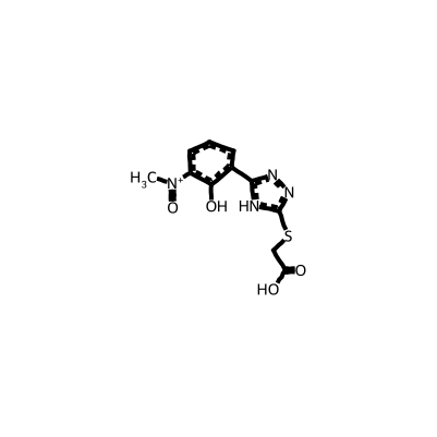 C[N+](=O)c1cccc(-c2nnc(SCC(=O)O)[nH]2)c1O